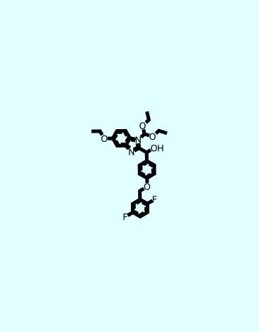 CCOc1ccc2c(c1)nc(C(O)c1ccc(OCc3cc(F)ccc3F)cc1)n2C(OCC)OCC